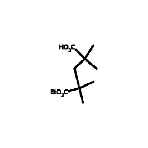 CCOC(=O)C(C)(C)CC(C)(C)C(=O)O